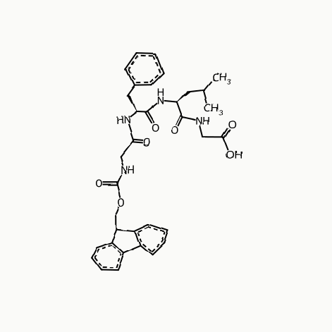 CC(C)C[C@H](NC(=O)[C@H](Cc1ccccc1)NC(=O)CNC(=O)OCC1c2ccccc2-c2ccccc21)C(=O)NCC(=O)O